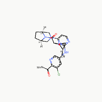 CNC(=O)c1ncc(Nc2nccc(N3C[C@H]4CC[C@@H](C3)N4C(=O)CC3C[C@H]3C#N)n2)cc1Cl